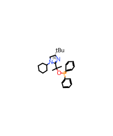 CC(C)(OP(c1ccccc1)c1ccccc1)C1=N[C@@H](C(C)(C)C)CN1C1CCCCC1